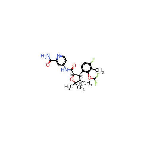 Cc1c(F)ccc([C@H]2[C@@H](C)[C@@](C)(C(F)(F)F)O[C@H]2C(=O)Nc2ccnc(C(N)=O)c2)c1OC(F)F